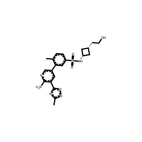 Cc1noc(-c2cc(-c3cc(S(=O)(=O)N[C@H]4C[C@@H](CCO)C4)ccc3C)cnc2N)n1